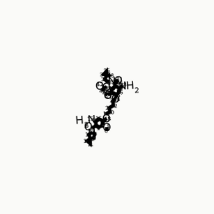 COc1cc(C(=O)N2CCC3(CC3)C2)c(N)cc1OCCCCCOc1cc(N)c(C(=O)N2CC3(CC3)C[C@H]2OC(C)=O)cc1OC